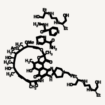 CC[C@@H](CO)NCCN[C@@H](CC)CO.CC[C@@H](CO)NCCN[C@@H](CC)CO.CO[C@H]1/C=C/O[C@@]2(C)Oc3c(C)c(O)c4c(c3C2=O)C2=NC3(CCN(CC(C)C)CC3)NC2=C(NC(=O)/C(C)=C\C=C\[C@H](C)[C@H](O)[C@@H](C)[C@@H](O)[C@@H](C)[C@H](OC(C)=O)[C@@H]1C)C4=O.NC(=O)c1cnccn1.NNC(=O)c1ccncc1